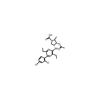 CCc1nc(-c2ccc(Cl)cc2Cl)c(CC)nc1N[C@@H]1CN(C(=O)O)C(C)[C@H]1OC(C)=O